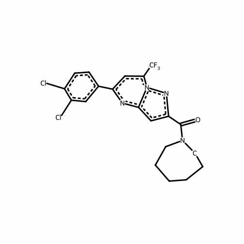 O=C(c1cc2nc(-c3ccc(Cl)c(Cl)c3)cc(C(F)(F)F)n2n1)N1CCCCCC1